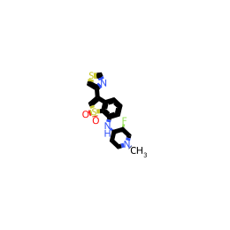 CN1CC[C@@H](Nc2cccc3c2S(=O)(=O)C=C3c2cscn2)[C@@H](F)C1